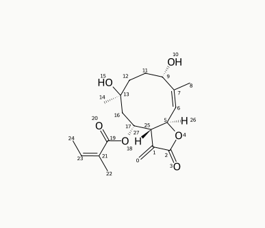 C=C1C(=O)O[C@@H]2/C=C(/C)[C@@H](O)CC[C@](C)(O)C[C@@H](OC(=O)/C(C)=C\C)[C@@H]12